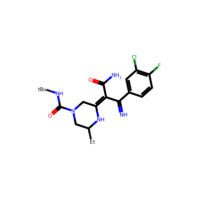 CCC1CN(C(=O)NC(C)(C)C)C/C(=C(/C(=N)c2ccc(F)c(Cl)c2)C(N)=O)N1